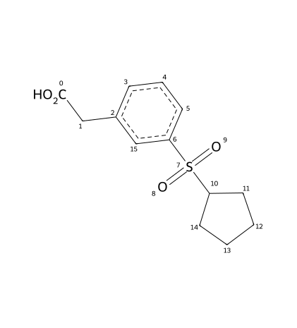 O=C(O)Cc1cccc(S(=O)(=O)C2CCCC2)c1